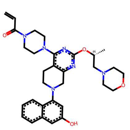 C=CC(=O)N1CCN(c2nc(O[C@H](C)CN3CCOCC3)nc3c2CCN(c2cc(O)cc4ccccc24)C3)CC1